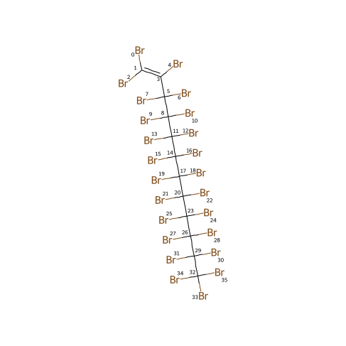 BrC(Br)=C(Br)C(Br)(Br)C(Br)(Br)C(Br)(Br)C(Br)(Br)C(Br)(Br)C(Br)(Br)C(Br)(Br)C(Br)(Br)C(Br)(Br)C(Br)(Br)Br